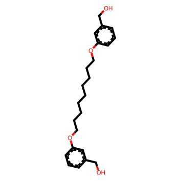 OCc1cccc(OCCCCCCCCCOc2cccc(CO)c2)c1